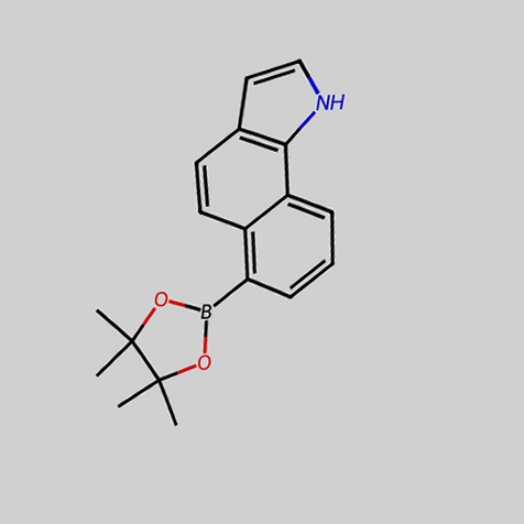 CC1(C)OB(c2cccc3c2ccc2cc[nH]c23)OC1(C)C